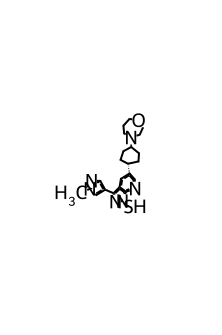 Cn1cc(-c2nn(S)c3ncc([C@H]4CC[C@H](N5CCCOCC5)CC4)cc23)cn1